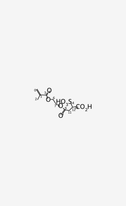 C=C(C)C(=O)OCCOC(=O)CC(C(=O)O)S(=O)(=O)O